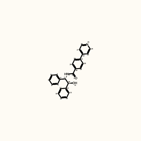 O=C(N[C@@H](c1ccccc1)[C@@H](O)c1ccccc1)c1ccc(-c2ccncc2)cc1